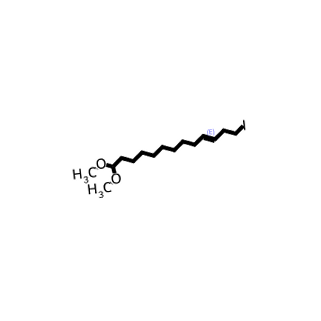 COC(CCCCCCCC/C=C/CCI)OC